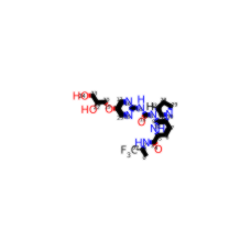 C[C@@H](NC(=O)C1C=CC2=C(N1)N(C(=O)Nc1ncc(OC[C@H](O)CO)cn1)[C@H]1CCN2C1)C(F)(F)F